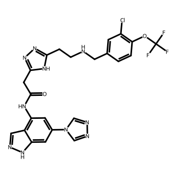 O=C(Cc1nnc(CCNCc2ccc(OC(F)(F)F)c(Cl)c2)[nH]1)Nc1cc(-n2cnnc2)cc2[nH]ncc12